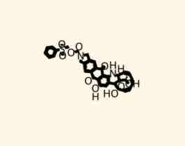 C[C@@H](O)C12O[C@]13c1cc(O)c4c(c1N[C@H]2C#C/C=C\C#C[C@H]3O)C(=O)c1cc2c(cc1C4=O)CN(C(=O)OCS(=O)(=O)c1ccccc1)C2